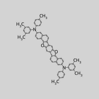 Cc1ccc(N(c2cc(C)cc(C)c2)c2ccc3c(ccc4c5cc6oc7c8ccc(N(c9ccc(C)cc9)c9cc(C)cc(C)c9)cc8ccc7c6cc5oc34)c2)cc1